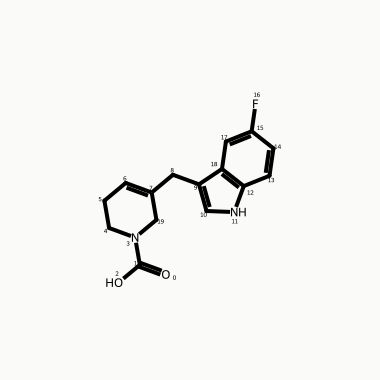 O=C(O)N1CCC=C(Cc2c[nH]c3ccc(F)cc23)C1